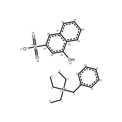 CC[N+](CC)(CC)Cc1ccccc1.O=S(=O)([O-])c1cc(O)c2ccccc2c1